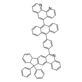 C1=CC2c3cc4c(-c5ccc(-c6c7ccccc7c(-c7cc8cccnc8c8ncccc78)c7ccccc67)cc5)nc5ccccc5c4cc3C(c3ccccc3)(c3ccccc3)C2C=C1